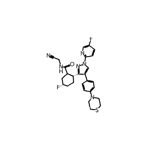 N#CCNC(=O)C1C[C@@H](F)CC[C@H]1c1nn(-c2ccc(F)cn2)cc1-c1ccc(N2CCSCC2)cc1